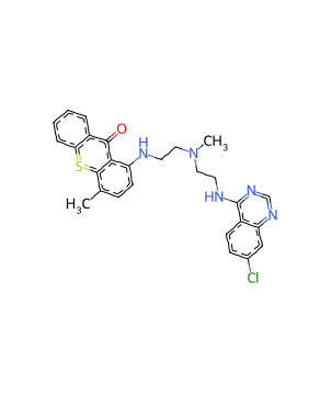 Cc1ccc(NCCN(C)CCNc2ncnc3cc(Cl)ccc23)c2c(=O)c3ccccc3sc12